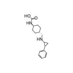 O=C(O)N[C@H]1CC[C@H](CNC2CC2c2ccccc2)CC1